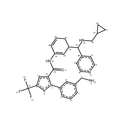 NCc1cccc(-n2nc(C(F)(F)F)cc2C(=O)NC2=CC(C(NCC3CC3)c3ccncc3)CC=C2)c1